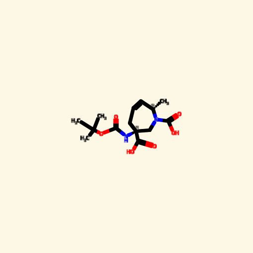 C[C@H]1C=CC[C@@](NC(=O)OC(C)(C)C)(C(=O)O)CN1C(=O)O